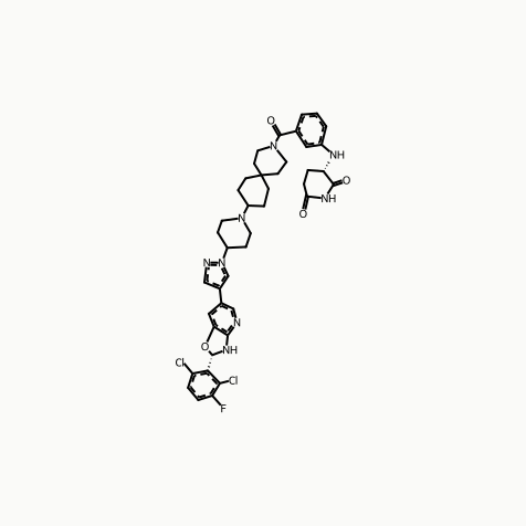 O=C1CC[C@H](Nc2cccc(C(=O)N3CCC4(CCC(N5CCC(n6cc(-c7cnc8c(c7)O[C@@H](c7c(Cl)ccc(F)c7Cl)N8)cn6)CC5)CC4)CC3)c2)C(=O)N1